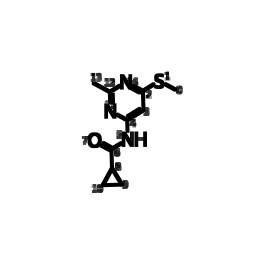 CSc1cc(NC(=O)C2CC2)nc(C)n1